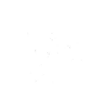 Cc1ccc2c(Nc3cccc(C(F)(F)F)c3F)ncc(C(=O)N3CCOCC3)n12.Cl